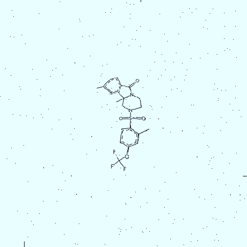 Cc1ccc2c(n1)C1(C)CN(S(=O)(=O)c3ccc(OC(F)(F)F)cc3C)CCN1C2=O